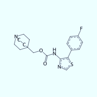 O=C(Nc1ncsc1-c1ccc(F)cc1)OCC12CCN(CC1)CC2